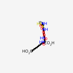 CC(C)NC(CSCC(=O)NCCOCCOCCNC(=O)CCC(NC(=O)CCCCCCCCCCCCCCC(=O)O)C(=O)O)C(=O)S